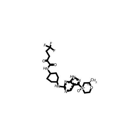 C[C@H]1C[N+]([O-])(c2n[nH]c3nc(NC4CCC(NC(=O)C(=O)CCC(F)(F)F)CC4)ncc23)CCO1